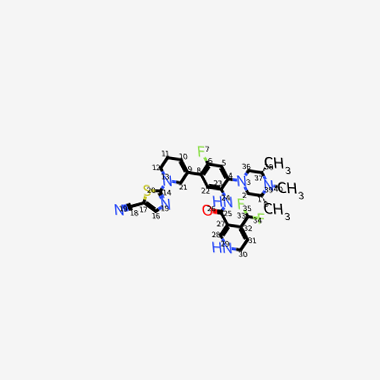 C[C@@H]1CN(c2cc(F)c(C3=CCCN(c4ncc(C#N)s4)C3)cc2NC(=O)C2=CNCC=C2C(F)F)C[C@H](C)N1C